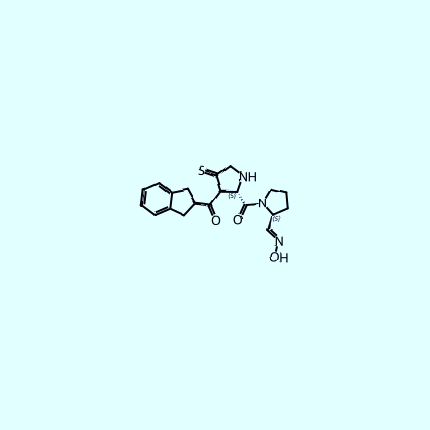 O=C(C1Cc2ccccc2C1)C1C(=S)CN[C@@H]1C(=O)N1CCC[C@H]1C=NO